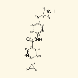 O=C(Nc1ccc(SC2CNC2)cc1)c1cnc(C2CC2)nc1